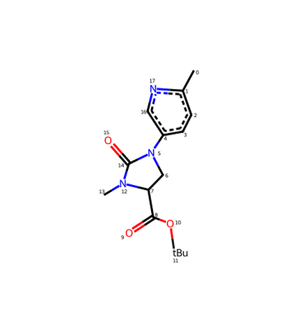 Cc1ccc(N2CC(C(=O)OC(C)(C)C)N(C)C2=O)cn1